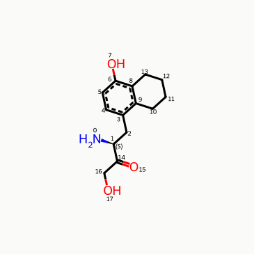 N[C@@H](Cc1ccc(O)c2c1CCCC2)C(=O)CO